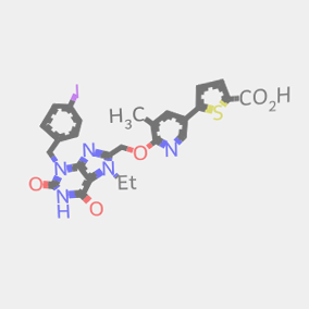 CCn1c(COc2ncc(-c3ccc(C(=O)O)s3)cc2C)nc2c1c(=O)[nH]c(=O)n2Cc1ccc(I)cc1